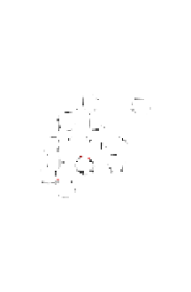 c1ccc(-c2cccc(-c3nc(-c4ccccc4-c4ccccc4)nc(-n4c5ccccc5c5ccc6c7ccc8c9ccccc9n(-c9ccccc9-c9ccccc9)c8c7sc6c54)n3)c2)cc1